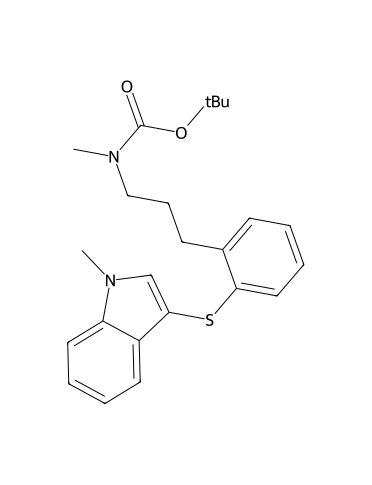 CN(CCCc1ccccc1Sc1cn(C)c2ccccc12)C(=O)OC(C)(C)C